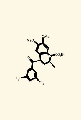 CCOC(=O)N1c2cc(OC)c(OC)cc2[C@H](C(=O)c2cc(C(F)(F)F)cc(C(F)(F)F)c2)C[C@@H]1C